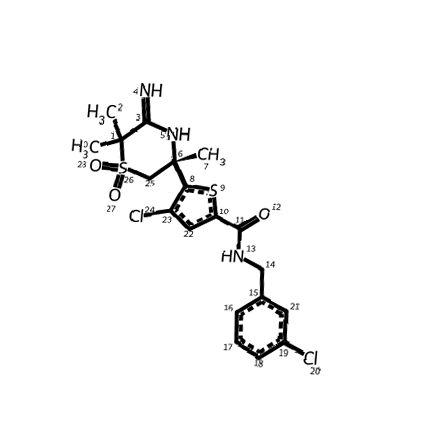 CC1(C)C(=N)N[C@](C)(c2sc(C(=O)NCc3cccc(Cl)c3)cc2Cl)CS1(=O)=O